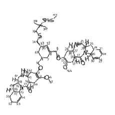 COC1=C(OCC2CC(COC3=C(OC)C[C@@H]4C(=O)N5[C@H](C=N[C@@H]4C3)CC3C=CC=C[C@H]35)=C[C@H](CSCC(C)(C)SSC)C2)C[C@@H]2NC[C@@H]3C[C@@H]4CCC=CC4N3C(=O)[C@@H]2C1